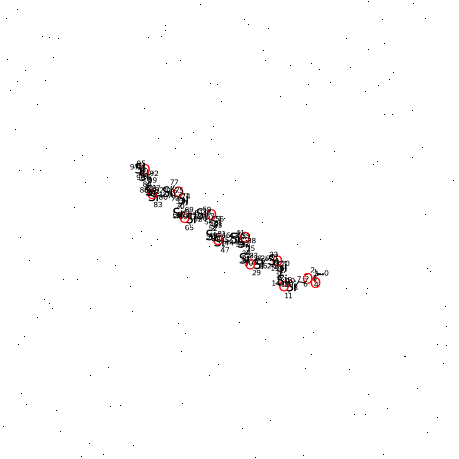 C=C(C)C(=O)OCCC[Si](C)(C)O[Si](C)(C)CC[Si](C)(C)O[Si](C)(C)CC[Si](C)(C)O[Si](C)(C)CC[Si](C)(C)O[Si](C)(C)CC[Si](C)(C)O[Si](C)(C)CC[Si](C)(C)O[Si](C)(C)CC[Si](C)(C)O[Si](C)(C)CC[Si](C)(C)O[Si](C)(C)CC[Si](C)(C)O[Si](C)(C)CC[Si](C)(C)O[Si](C)(C)C